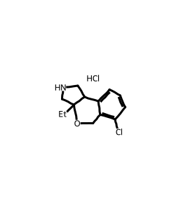 CCC12CNCC1c1cccc(Cl)c1CO2.Cl